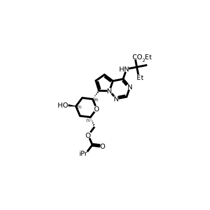 CCOC(=O)C(C)(CC)Nc1ncnn2c([C@H]3C[C@H](O)C[C@@H](COC(=O)C(C)C)O3)ccc12